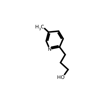 Cc1ccc(CCCO)nc1